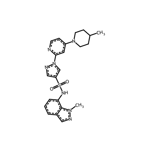 CC1CCN(c2ccnc(-n3cc(S(=O)(=O)Nc4cccc5cnn(C)c45)cn3)c2)CC1